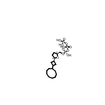 O=P(O)(O)OP(=O)(O)OP(=O)(O)OC[C@@H]1CC[C@H](C2CC(C3CCCCCCCC3)C2)O1